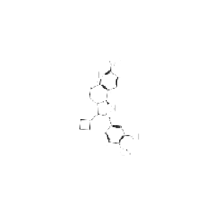 N#Cc1ccc(N2N=C3c4ccc(C(=O)O)nc4CCC3C2C2CCC2)cc1Cl